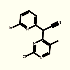 Cc1cnc(Cl)nc1C(C#N)c1cccc(Br)n1